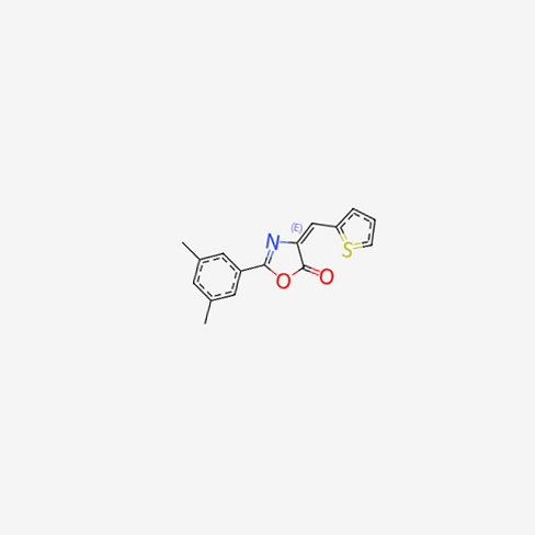 Cc1cc(C)cc(C2=N/C(=C/c3cccs3)C(=O)O2)c1